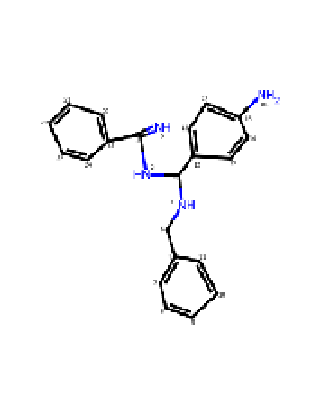 N=C(NC(NCc1ccccc1)c1ccc(N)cc1)c1ccccc1